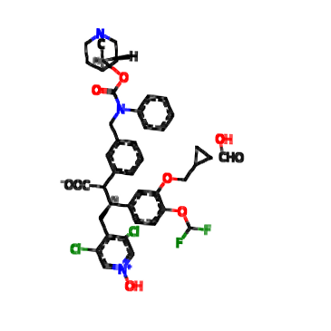 O=C([O-])C(c1cccc(CN(C(=O)O[C@H]2CN3CCC2CC3)c2ccccc2)c1)[C@H](Cc1c(Cl)c[n+](O)cc1Cl)c1ccc(OC(F)F)c(OCC2CC2)c1.O=CO